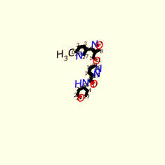 Cc1ccc(-c2nocc2COc2ccc(C(=O)NC3CCOCC3)nn2)cn1